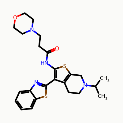 CC(C)N1CCc2c(sc(NC(=O)CCN3CCOCC3)c2-c2nc3ccccc3s2)C1